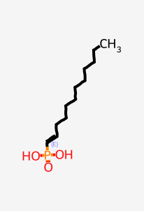 CCCCCCCCCC/C=C/P(=O)(O)O